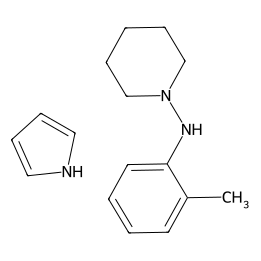 Cc1ccccc1NN1CCCCC1.c1cc[nH]c1